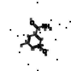 Cc1cc(C(N)=O)c[n+]([O-])c1